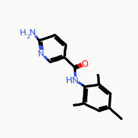 Cc1cc(C)c(NC(=O)c2ccc(N)nc2)c(C)c1